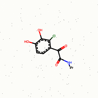 CC(C)NC(=O)C(=O)c1ccc(O)c(O)c1Cl